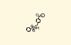 O=C(c1ccc(CCNS(=O)(=O)c2ccccc2)cc1)N1CCCC1